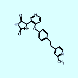 Cc1cc(CCc2ccc(Oc3ccncc3C3NC(=O)NC3=O)cc2)ccn1